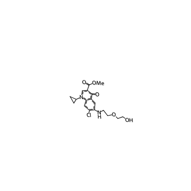 COC(=O)c1cn(C2CC2)c2cc(Cl)c(NCCOCCO)cc2c1=O